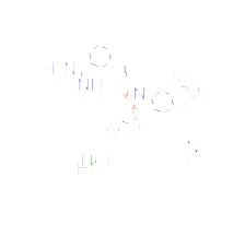 CCOC(=O)CS(=O)(=O)N(C/C=C/c1cccc(C(=N)N)c1)c1ccc(OC2CCNCC2)c(C(=O)OCC)c1.Cl.Cl